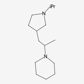 CC(C)N1CCC(CC(C)N2CCCCC2)C1